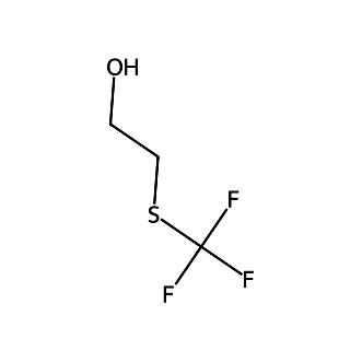 OCCSC(F)(F)F